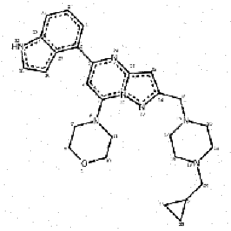 c1cc(-c2cc(N3CCOCC3)n3nc(CN4CCN(CC5CC5)CC4)cc3n2)c2cc[nH]c2c1